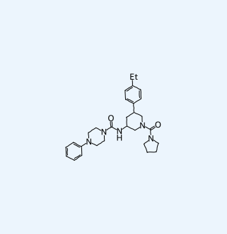 CCc1ccc(C2CC(NC(=O)N3CCN(c4ccccc4)CC3)CN(C(=O)N3CCCC3)C2)cc1